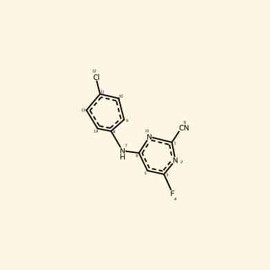 N#Cc1nc(F)cc(Nc2ccc(Cl)cc2)n1